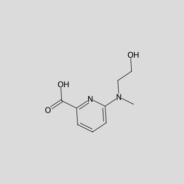 CN(CCO)c1cccc(C(=O)O)n1